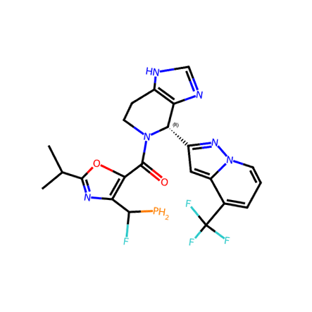 CC(C)c1nc(C(F)P)c(C(=O)N2CCc3[nH]cnc3[C@@H]2c2cc3c(C(F)(F)F)cccn3n2)o1